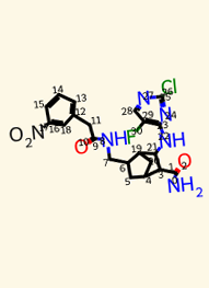 NC(=O)C1C2CC(CNC(=O)Cc3cccc([N+](=O)[O-])c3)C(C2)C1Nc1nc(Cl)ncc1F